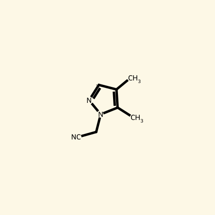 Cc1[c]nn(CC#N)c1C